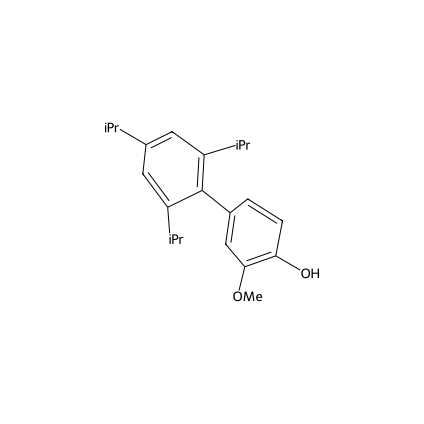 COc1cc(-c2c(C(C)C)cc(C(C)C)cc2C(C)C)ccc1O